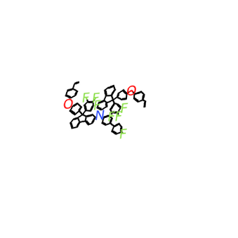 C=Cc1ccc(Oc2ccc(C3(c4cc(F)c(F)c(F)c4)c4ccccc4-c4ccc(N(c5ccc(-c6ccc(F)cc6)cc5)c5ccc6c(c5)C(c5ccc(Oc7ccc(C=C)cc7)cc5)(c5cc(F)c(F)c(F)c5)c5ccccc5-6)cc43)cc2)cc1